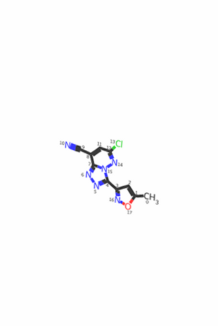 Cc1cc(-c2nnc3c(C#N)cc(Cl)nn23)no1